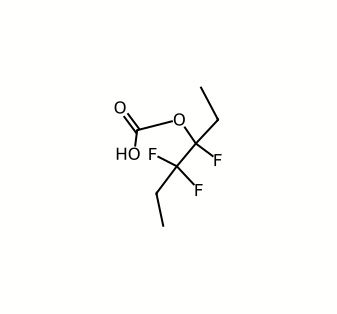 CCC(F)(F)C(F)(CC)OC(=O)O